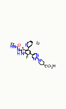 CCNC(=O)Nc1nc2c(F)c(-c3cnc(N4CCC(C(=O)O)CC4)nc3)cc(-c3ccccn3)c2s1.[Li]